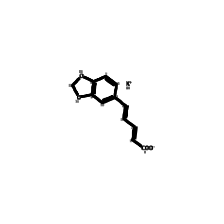 O=C([O-])C=CC=Cc1ccc2c(c1)OCO2.[K+]